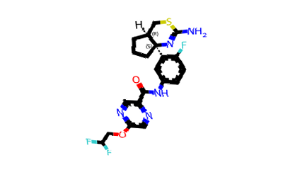 NC1=N[C@@]2(c3cc(NC(=O)c4cnc(OCC(F)F)cn4)ccc3F)CCC[C@H]2CS1